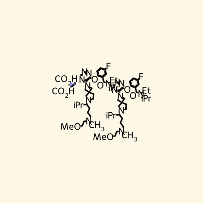 CCN(C(=O)c1cc(F)ccc1Oc1nncnc1N1CC2(CCN(C(CCCN(C)CCOC)C(C)C)C2)C1)C(C)C.CCN(C(=O)c1cc(F)ccc1Oc1nncnc1N1CC2(CCN(C(CCCN(C)CCOC)C(C)C)C2)C1)C(C)C.O=C(O)/C=C/C(=O)O